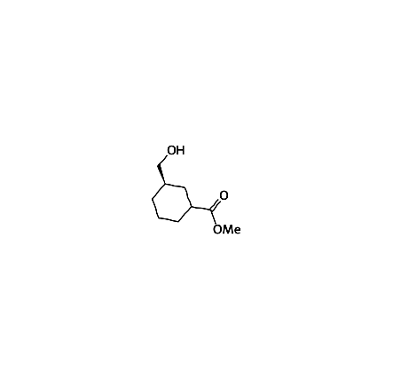 COC(=O)C1CCC[C@@H](CO)C1